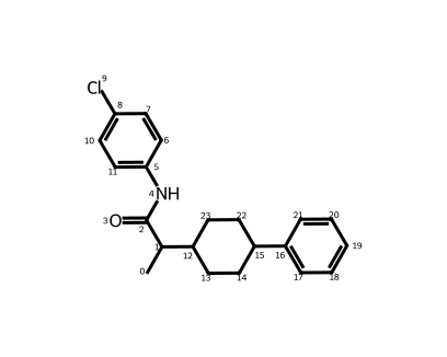 CC(C(=O)Nc1ccc(Cl)cc1)C1CCC(c2ccccc2)CC1